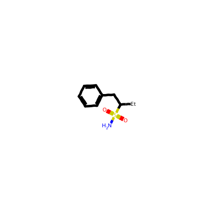 CCC(Cc1ccccc1)S(N)(=O)=O